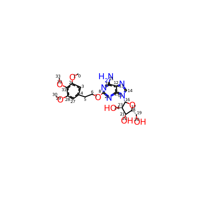 COc1cc(CCOc2nc(N)c3ncn([C@@H]4O[C@H](CO)[C@@H](O)[C@H]4O)c3n2)cc(OC)c1OC